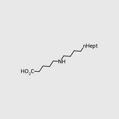 CCCCCCCCCCCNCCCCC(=O)O